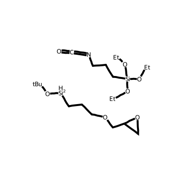 CC(C)(C)O[SiH2]CCCOCC1CO1.CCO[Si](CCCN=C=O)(OCC)OCC